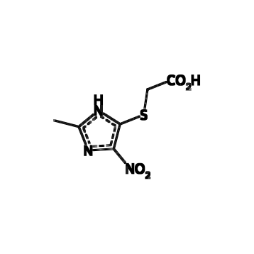 Cc1nc([N+](=O)[O-])c(SCC(=O)O)[nH]1